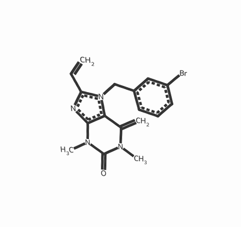 C=Cc1nc2c(n1Cc1cccc(Br)c1)C(=C)N(C)C(=O)N2C